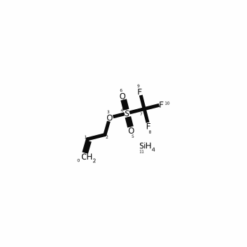 C=CCOS(=O)(=O)C(F)(F)F.[SiH4]